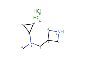 CN(CC1CNC1)C1CC1.Cl.Cl